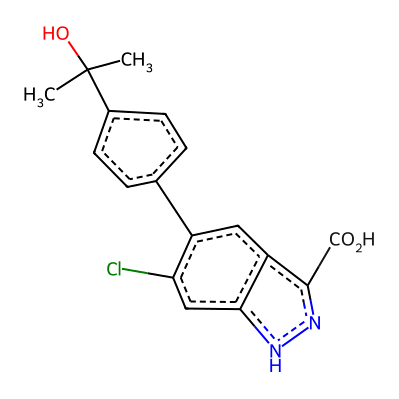 CC(C)(O)c1ccc(-c2cc3c(C(=O)O)n[nH]c3cc2Cl)cc1